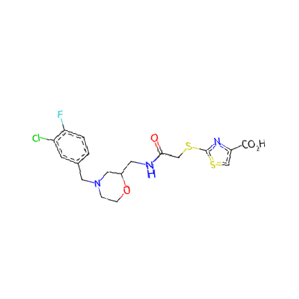 O=C(CSc1nc(C(=O)O)cs1)NCC1CN(Cc2ccc(F)c(Cl)c2)CCO1